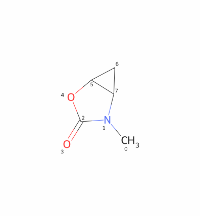 CN1C(=O)OC2CC21